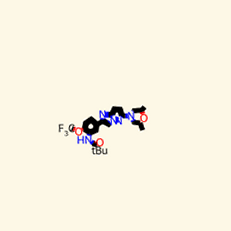 CC1CN(c2ccc3nc(-c4ccc(OC(F)(F)F)c(NC(=O)C(C)(C)C)c4)cn3n2)CC(C)O1